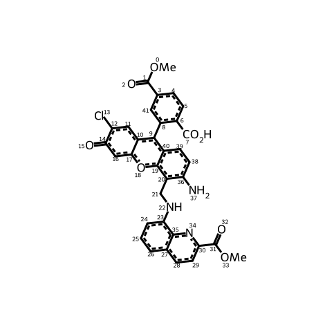 COC(=O)c1ccc(C(=O)O)c(-c2c3cc(Cl)c(=O)cc-3oc3c(CNc4cccc5ccc(C(=O)OC)nc45)c(N)ccc23)c1